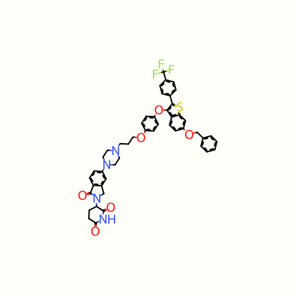 O=C1CCC(N2Cc3cc(N4CCN(CCCOc5ccc(Oc6c(-c7ccc(C(F)(F)F)cc7)sc7cc(OCc8ccccc8)ccc67)cc5)CC4)ccc3C2=O)C(=O)N1